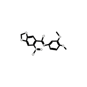 COc1ccc(/N=C(\Cl)c2cc3c(cc2[N+](=O)[O-])OCO3)cc1OC